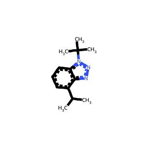 CC(C)c1cccc2c1nnn2C(C)(C)C